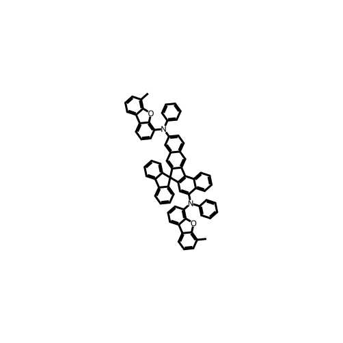 Cc1cccc2c1oc1c(N(c3ccccc3)c3ccc4cc5c(cc4c3)C3(c4ccccc4-c4ccccc43)c3cc(N(c4ccccc4)c4cccc6c4oc4c(C)cccc46)c4ccccc4c3-5)cccc12